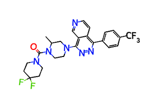 CC1CN(c2nnc(-c3ccc(C(F)(F)F)cc3)c3ccncc23)CCN1C(=O)N1CCC(F)(F)CC1